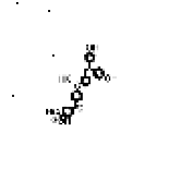 O=C(c1ccc(Oc2cccc(CC(c3ccc(O)cc3)c3ccc(O)cc3)c2)cc1)c1ccc(P(=O)(O)O)cc1.[KH]